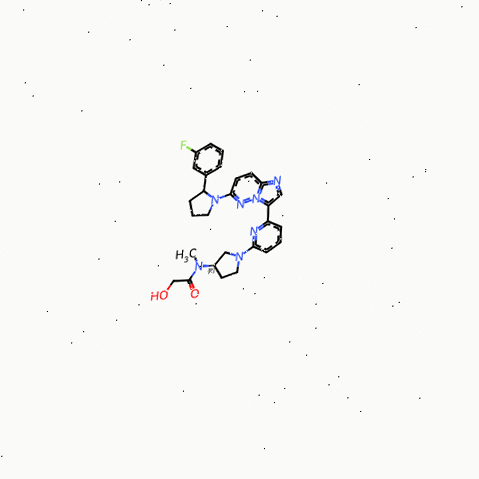 CN(C(=O)CO)[C@@H]1CCN(c2cccc(-c3cnc4ccc(N5CCCC5c5cccc(F)c5)nn34)n2)C1